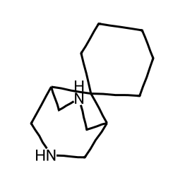 C1CCC2(CC1)C1CNCC2CNC1